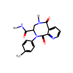 CCN1CC(C(=O)NC(C)(C)C)N(c2ccc(C)cc2)C(=O)c2ncccc2C1=O